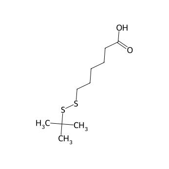 CC(C)(C)SSCCCCCC(=O)O